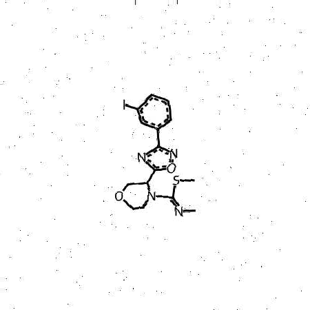 CN=C(SC)N1CCOCC1c1nc(-c2cccc(I)c2)no1